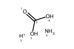 N.O=C(O)O.[H+]